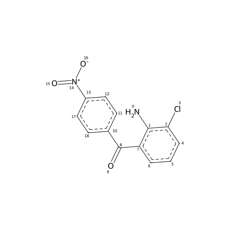 Nc1c(Cl)cccc1C(=O)c1ccc([N+](=O)[O-])cc1